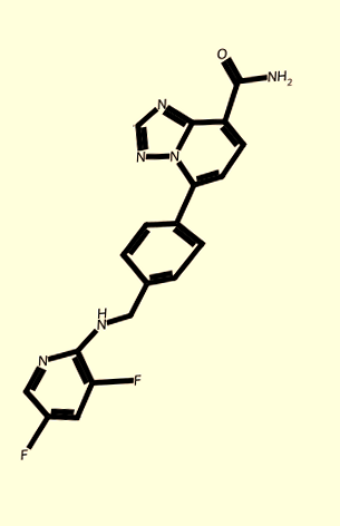 NC(=O)c1ccc(-c2ccc(CNc3ncc(F)cc3F)cc2)n2n[c]nc12